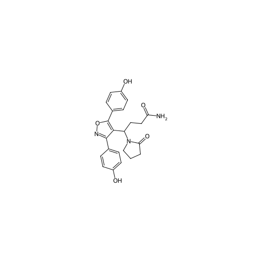 NC(=O)CCC(c1c(-c2ccc(O)cc2)noc1-c1ccc(O)cc1)N1CCCC1=O